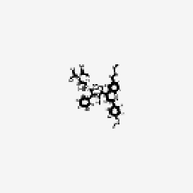 CCCCc1ccc2nc(-c3ccc(OC)cc3)cc(C(=O)NC(C(=O)NCCN(C(C)C)C(C)C)c3ccccc3)c2c1